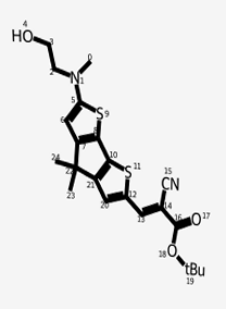 CN(CCO)c1cc2c(s1)-c1sc(/C=C(\C#N)C(=O)OC(C)(C)C)cc1C2(C)C